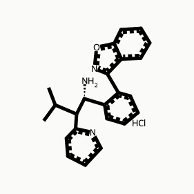 CC(C)C(c1ccccn1)[C@H](N)c1ccccc1-c1noc2ccccc12.Cl